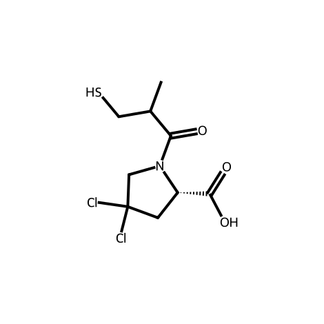 CC(CS)C(=O)N1CC(Cl)(Cl)C[C@H]1C(=O)O